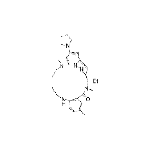 CCC1c2cc3nc(N4CCCC4)cc(n3n2)N(C)CCCCCNc2ccc(C)cc2C(=O)N1C